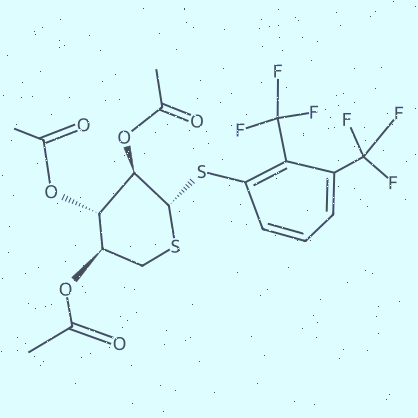 CC(=O)O[C@@H]1[C@@H](OC(C)=O)[C@H](Sc2cccc(C(F)(F)F)c2C(F)(F)F)SC[C@H]1OC(C)=O